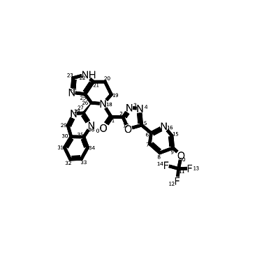 O=C(c1nnc(-c2ccc(OC(F)(F)F)cn2)o1)N1CCc2[nH]cnc2[C@@H]1c1ncc2ccccc2n1